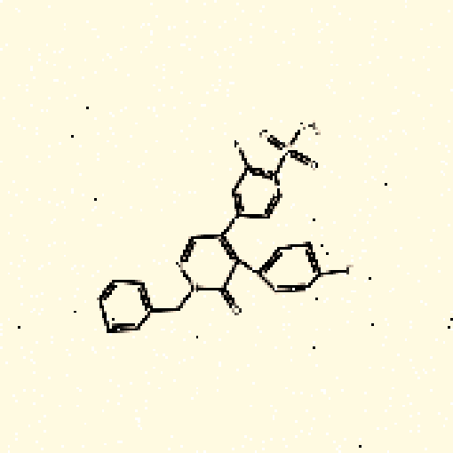 NS(=O)(=O)c1ccc(-c2cnn(Cc3ccccc3)c(=O)c2-c2ccc(F)cc2)cc1F